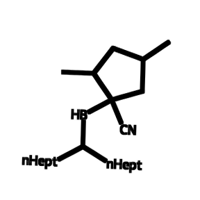 CCCCCCCC(BC1(C#N)CC(C)CC1C)CCCCCCC